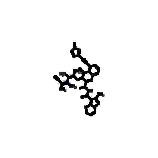 B/C(C#C)=C(B)/C(B)=C(/B)Cn1c(C(C)NC(=O)c2c(N)nn3cccnc23)nc2cccc(C#Cc3ccn(C)n3)c2c1=O